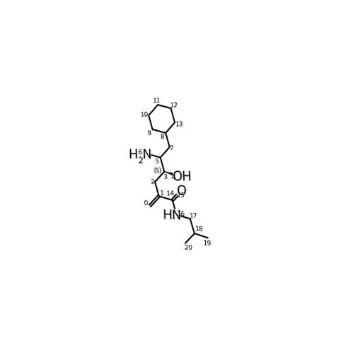 C=C(C[C@H](O)C(N)CC1CCCCC1)C(=O)NCC(C)C